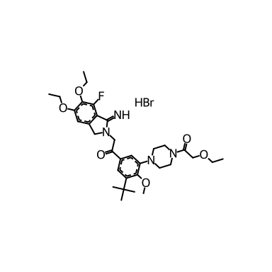 Br.CCOCC(=O)N1CCN(c2cc(C(=O)CN3Cc4cc(OCC)c(OCC)c(F)c4C3=N)cc(C(C)(C)C)c2OC)CC1